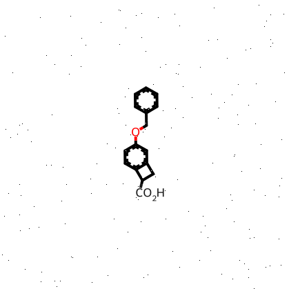 O=C(O)C1Cc2cc(OCc3ccccc3)ccc21